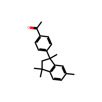 CC(=O)c1ccc(C2(C)CC(C)(C)c3ccc(C)cc32)cc1